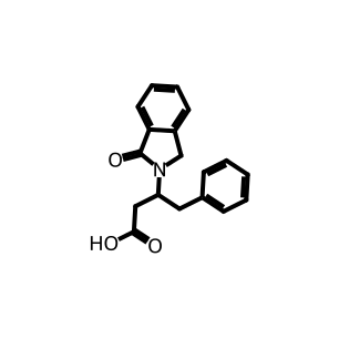 O=C(O)CC(Cc1ccccc1)N1Cc2ccccc2C1=O